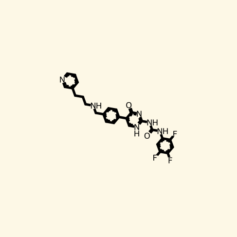 O=C(Nc1nc(=O)c(-c2ccc(CNCCCc3cccnc3)cc2)c[nH]1)Nc1cc(F)c(F)cc1F